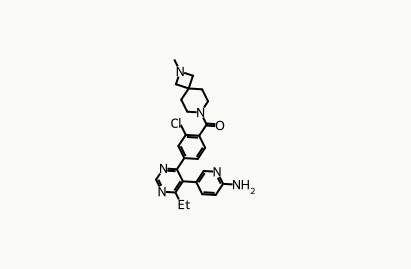 CCc1ncnc(-c2ccc(C(=O)N3CCC4(CC3)CN(C)C4)c(Cl)c2)c1-c1ccc(N)nc1